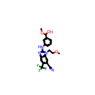 COCCn1c(Nc2cccc(C(O)OC)c2)nc2cc(C(F)(F)F)c(C#N)cc21